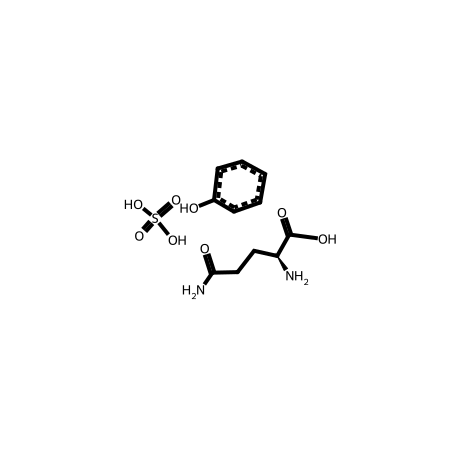 NC(=O)CC[C@H](N)C(=O)O.O=S(=O)(O)O.Oc1ccccc1